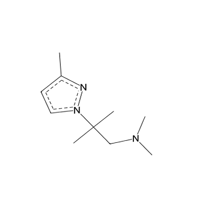 Cc1ccn(C(C)(C)CN(C)C)n1